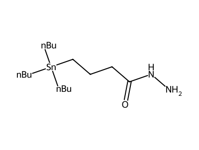 CCC[CH2][Sn]([CH2]CCC)([CH2]CCC)[CH2]CCC(=O)NN